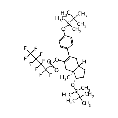 CC(C)(C)[Si](C)(C)Oc1ccc(C2=C(OS(=O)(=O)C(F)(F)C(F)(F)C(F)(F)C(F)(F)F)C[C@@]3(C)[C@@H](CC[C@@H]3O[Si](C)(C)C(C)(C)C)C2)cc1